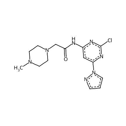 CN1CCN(CC(=O)Nc2cc(-n3cccn3)nc(Cl)n2)CC1